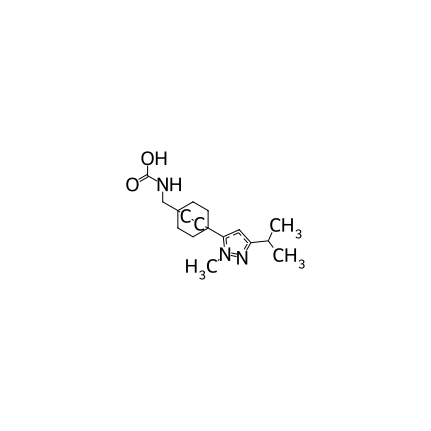 CC(C)c1cc(C23CCC(CNC(=O)O)(CC2)CC3)n(C)n1